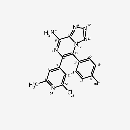 Cc1cc(-c2nc(N)c3nnnn3c2-c2ccc(F)cc2)cc(Cl)n1